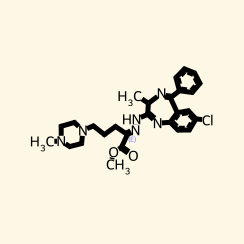 COC(=O)/C(CCCN1CCN(C)CC1)=N/NC1=Nc2ccc(Cl)cc2C(c2ccccc2)=NC1C